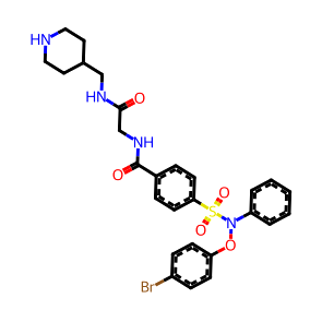 O=C(CNC(=O)c1ccc(S(=O)(=O)N(Oc2ccc(Br)cc2)c2ccccc2)cc1)NCC1CCNCC1